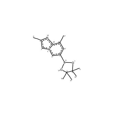 Cc1cn2cc(B3OC(C)(C)C(C)(C)O3)cc(C)c2n1